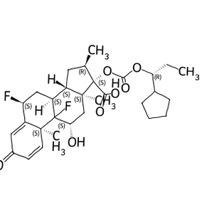 CC[C@@H](OC(=O)O[C@@]1(C(=O)O)[C@H](C)C[C@H]2[C@@H]3C[C@H](F)C4=CC(=O)C=C[C@]4(C)C3(F)[C@@H](O)C[C@@]21C)C1CCCC1